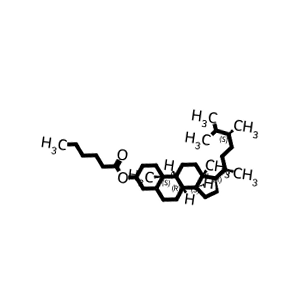 CCCCCC(=O)OC1CC[C@@]2(C)C(CC[C@H]3[C@@H]4CC[C@H]([C@H](C)CC[C@H](C)C(C)C)[C@@]4(C)CC[C@@H]32)C1